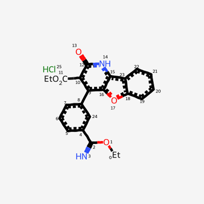 CCOC(=N)c1cccc(-c2c(C(=O)OCC)c(=O)[nH]c3c2oc2ccccc23)c1.Cl